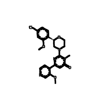 COc1cnccc1-c1cc(=O)n(C)c(N2CCO[C@@H](c3ccc(Cl)cc3OC)C2)n1